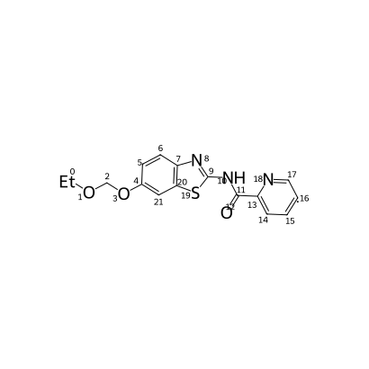 CCOCOc1ccc2nc(NC(=O)c3cc[c]cn3)sc2c1